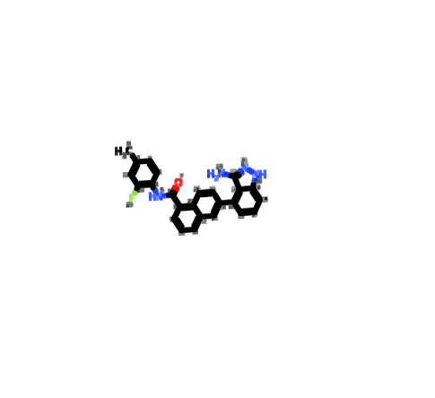 Cc1ccc(NC(=O)c2cccc3cc(-c4cccc5[nH]nc(N)c45)ccc23)c(F)c1